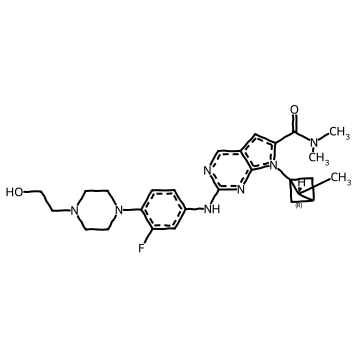 C[C@@H]1C2CC1(n1c(C(=O)N(C)C)cc3cnc(Nc4ccc(N5CCN(CCO)CC5)c(F)c4)nc31)C2